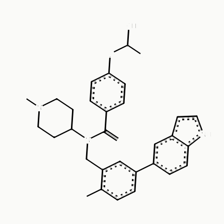 CC(C)Oc1ccc(C(=O)N(Cc2cc(-c3ccc4[nH]ccc4c3)ccc2F)C2CCN(C)CC2)cc1